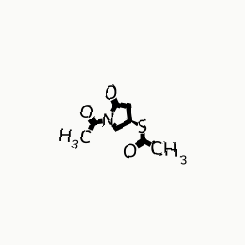 CC(=O)S[C@@H]1CC(=O)N(C(C)=O)C1